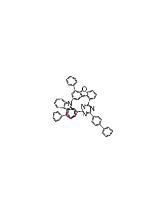 c1ccc(-c2ccc(-c3nc(-c4ccc(-c5ccccc5)cc4)nc(-c4cccc5oc6c(-c7ccccc7)cc(-n7c8ccccc8c8ccccc87)cc6c45)n3)cc2)cc1